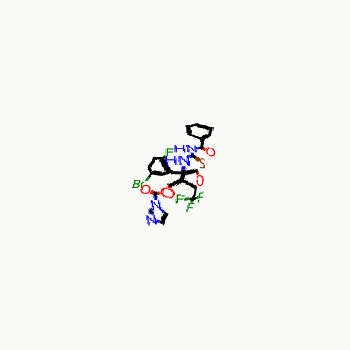 O=C(NC(=S)NC1(c2cc(Br)ccc2F)COC(C(F)(F)F)C1COC(=O)n1ccnc1)c1ccccc1